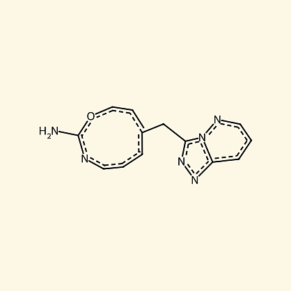 Nc1ncccc(Cc2nnc3cccnn23)cco1